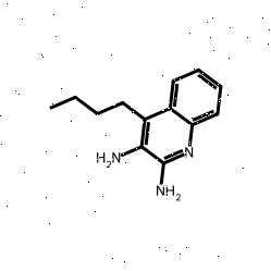 CCCCc1c(N)c(N)nc2ccccc12